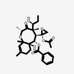 CC[C@H](O)[C@@]1(C)C(=O)[C@@H](C)OC2(C)C=C(C)CC[C@@]2(O)[C@@H](OC(=O)c2ccccc2)[C@@H]1[C@]1(OC(C)=O)CO1